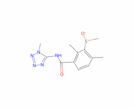 Cc1ccc(C(=O)Nc2nnnn2C)c(C)c1[S+](C)[O-]